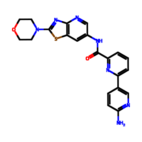 Nc1ccc(-c2cccc(C(=O)Nc3cnc4nc(N5CCOCC5)sc4c3)n2)cn1